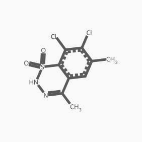 CC1=NNS(=O)(=O)c2c1cc(C)c(Cl)c2Cl